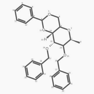 C[C@@H]1OC2COC(c3ccccc3)O[C@H]2[C@@H](OCc2ccccc2)C1OCc1ccccc1